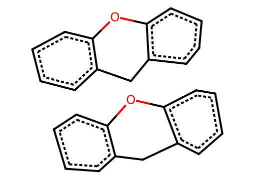 c1ccc2c(c1)Cc1ccccc1O2.c1ccc2c(c1)Cc1ccccc1O2